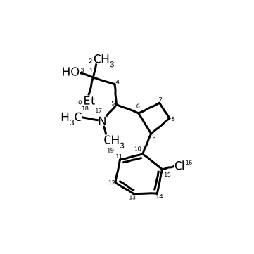 CCC(C)(O)CC(C1CCC1c1ccccc1Cl)N(C)C